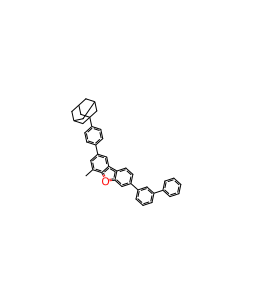 Cc1cc(-c2ccc(C34CC5CC(CC(C5)C3)C4)cc2)cc2c1oc1cc(-c3cccc(-c4ccccc4)c3)ccc12